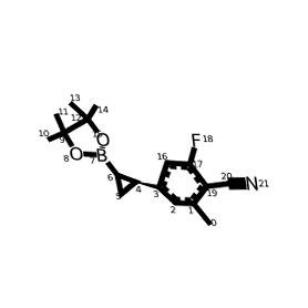 Cc1cc([C@H]2CC2B2OC(C)(C)C(C)(C)O2)cc(F)c1C#N